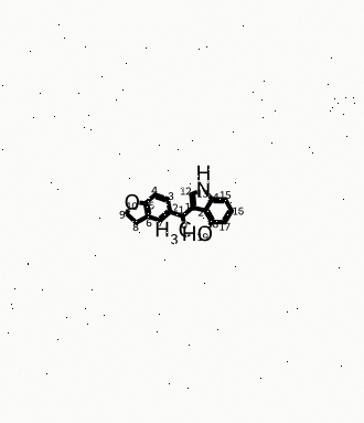 CC(c1ccc2c(c1)CCO2)c1c[nH]c2cccc(O)c12